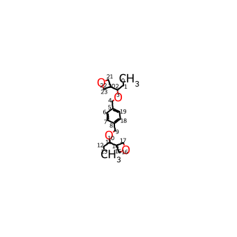 CCC(OCc1ccc(COC(CC)C2COC2)cc1)C1COC1